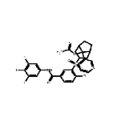 NC(=O)OC1(c2cccnc2)C2CCC1CC(S(=O)(=O)c1cc(C(=O)Nc3cc(F)c(F)c(F)c3)ccc1Cl)C2